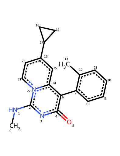 CNc1nc(=O)c(-c2ccccc2C)c2cc(C3CC3)ccn12